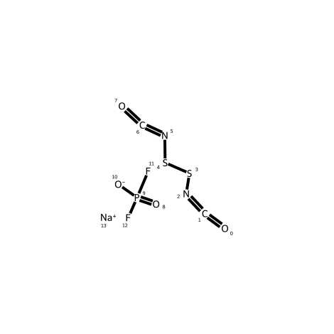 O=C=NSSN=C=O.O=P([O-])(F)F.[Na+]